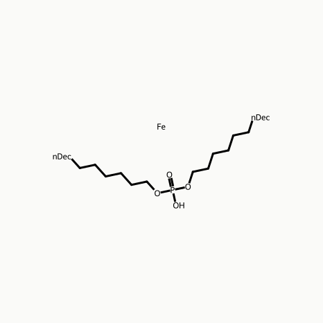 CCCCCCCCCCCCCCCCOP(=O)(O)OCCCCCCCCCCCCCCCC.[Fe]